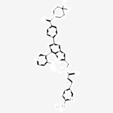 Cc1ccncc1-c1cc(-c2ccc(C(=O)N3CCC(F)(F)CC3)cc2)cc2cc(CNC(=O)/C=C/c3ccc(N)nc3)oc12